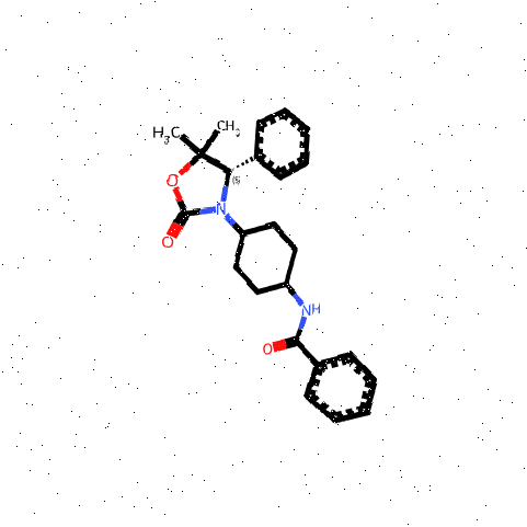 CC1(C)OC(=O)N(C2CCC(NC(=O)c3ccccc3)CC2)[C@H]1c1ccccc1